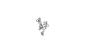 C[C@@H]1CN(c2nc(=O)n3c4c(c(Cl)c(C(F)(F)F)cc24)SCC(CO[Si](C)(C)C(C)(C)C)C3)C[C@H](C)N1C(=O)OC(C)(C)C